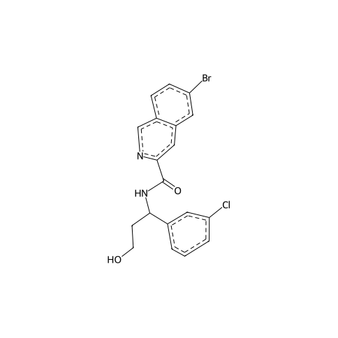 O=C(NC(CCO)c1cccc(Cl)c1)c1cc2cc(Br)ccc2cn1